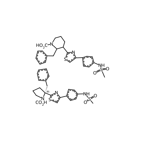 CS(=O)(=O)Nc1ccc(-c2csc(C3CCCN(C(=O)O)C3Cc3ccccc3)n2)cc1.CS(=O)(=O)Nc1ccc(-c2csc([C@]3(Cc4ccccc4)CCCN3C(=O)O)n2)cc1